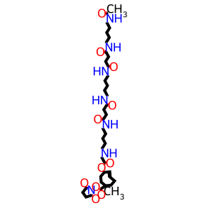 CC(=O)NCCCCCNC(=O)CCC(=O)NCCCCCNC(=O)CCC(=O)NCCCCCNCC(=O)O[C@@H]1/C=C/CC[C@](C)(C(=O)ON2C(=O)CCC2=O)CC1